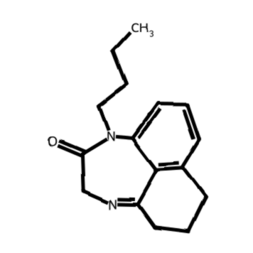 CCCCN1C(=O)CN=C2CCCc3cccc1c32